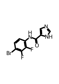 O=C(Nc1ccc(Br)c(F)c1F)c1cnc[nH]1